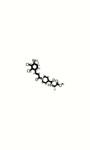 COC(=O)[C@H](C)NC(=O)C1CCN(C(=O)/C=C/c2ccc(N)c(Cl)c2Cl)CC1